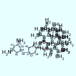 BBB(B)B(B(B)B)B(B(B(B(B)B)B(B)B)B(B(B)B)B(B)B)B(B(B(B(B)B)B(B)B)B(B(B)B)B(B)B)C1CCC(c2ccc(Cc3cc(N)cc(N)c3)cc2)CC1